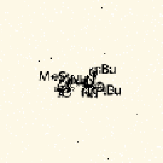 CCCCOCn1cc(CN[C@@H](CSC)[C@H]2COC(C)(C)O2)c2ncnc(OC(C)(C)C)c21